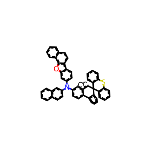 c1ccc2c(c1)Sc1ccccc1C21c2ccccc2-c2ccc(N(c3ccc4ccccc4c3)c3ccc4c(c3)oc3c5ccccc5ccc43)c3cccc1c23